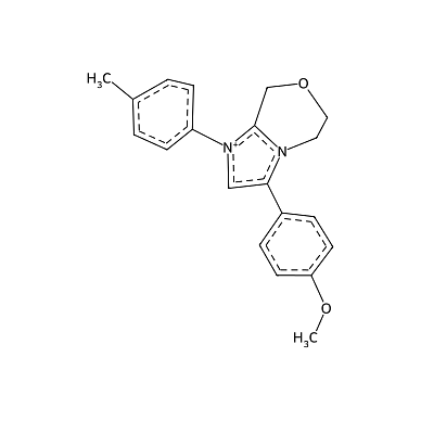 COc1ccc(-c2c[n+](-c3ccc(C)cc3)c3n2CCOC3)cc1